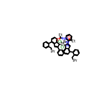 CCC(=O)N[B](NC(=O)CC)[Zr]([Cl])([Cl])([CH]1C(c2ccccc2)=Cc2c(-c3ccccc3CC(C)C)cccc21)[CH]1C(c2ccccc2)=Cc2c(-c3ccccc3CC(C)C)cccc21